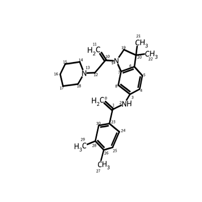 C=C(Nc1ccc2c(c1)N(C(=C)CN1CCCCC1)CC2(C)C)c1ccc(C)c(C)c1